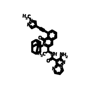 C[C@H](NC(=O)c1c(N)nn2cccnc12)c1cc2cccc(C#Cc3cnn(C)c3)c2c(=O)n1C12CC3CC(CC(C3)C1)C2